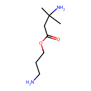 CC(C)(N)CC(=O)OCCCN